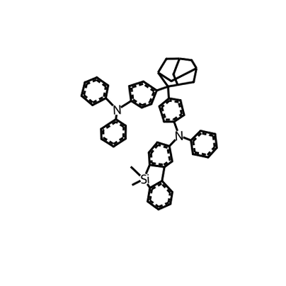 C[Si]1(C)c2ccccc2-c2cc(N(c3ccccc3)c3ccc(C4(c5ccc(N(c6ccccc6)c6ccccc6)cc5)C5CC6CC(C5)CC4C6)cc3)ccc21